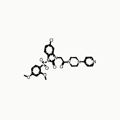 COc1ccc(S(=O)(=O)n2c(=O)n(CC(=O)N3CCN(c4ccncc4)CC3)c3cc(Cl)ccc32)c(OC)c1